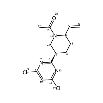 C=CC1CC[C@@H](c2nc(Cl)cc(Cl)n2)CN1C(C)=O